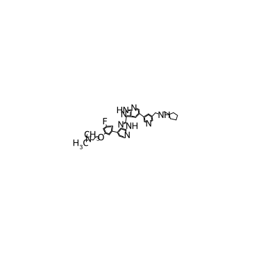 CN(C)CCOc1cc(F)cc(-c2ccnc3[nH]c(-c4n[nH]c5ncc(-c6cncc(CNCC7CCCC7)c6)cc45)nc23)c1